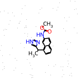 COC(=O)Nc1ccc2cccc(C(C)c3c[nH]cn3)c2c1